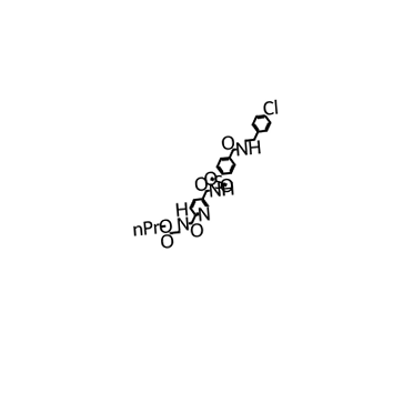 CCCOC(=O)CNC(=O)c1ccc(C(=O)NS(=O)(=O)c2ccc(C(=O)NCCc3ccc(Cl)cc3)cc2)cn1